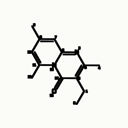 CCc1c(C)nc2cc(C)cc(C)n2c1=O